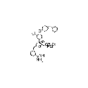 CCOC(=O)CS(=O)(=O)N(C/C=C/c1cccc(C(=N)N)c1)c1ccc(OC2CCN(Cc3ccccc3)CC2)c(Cl)c1.Cl.Cl